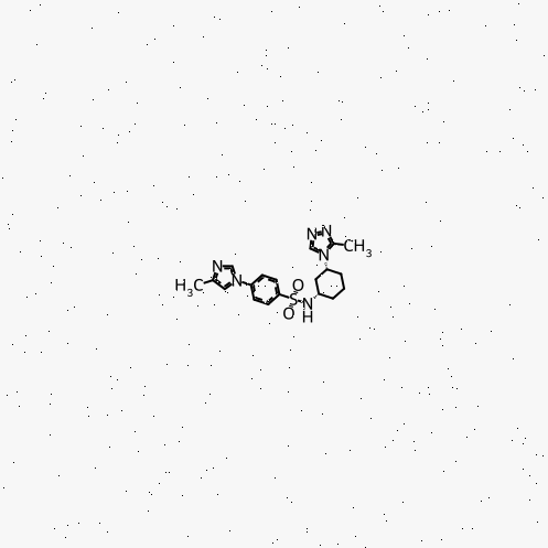 Cc1cn(-c2ccc(S(=O)(=O)N[C@H]3CCC[C@@H](n4cnnc4C)C3)cc2)cn1